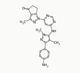 Cc1nn(-c2cc(Nc3c(C)c(-c4ccc(N)cc4)nn3C)ncn2)c2c1C(=O)CC2